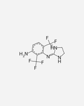 Nc1ccc(C(F)(F)F)c(N=C2NCCN2)c1C(F)(F)F